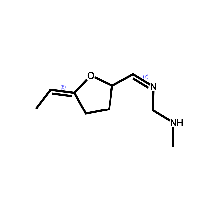 C/C=C1\CCC(/C=N\CNC)O1